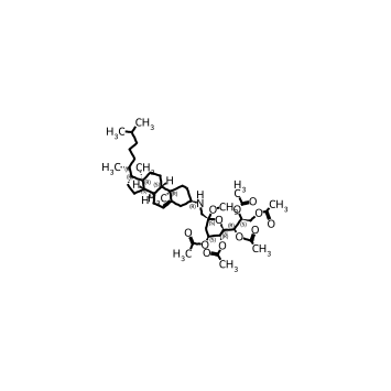 CO[C@@]1(CN[C@@H]2CC[C@@]3(C)C(=CC[C@H]4[C@@H]5CC[C@H]([C@H](C)CCCC(C)C)[C@@]5(C)CC[C@@H]43)C2)C[C@H](OC(C)=O)[C@@H](OC(C)=O)[C@H]([C@H](OC(C)=O)[C@H](COC(C)=O)OC(C)=O)O1